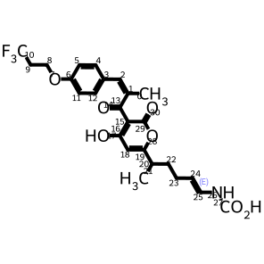 CC(=Cc1ccc(OCCC(F)(F)F)cc1)C(=O)c1c(O)cc(C(C)CC/C=C/NC(=O)O)oc1=O